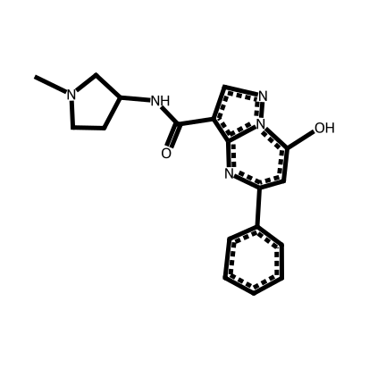 CN1CCC(NC(=O)c2cnn3c(O)cc(-c4ccccc4)nc23)C1